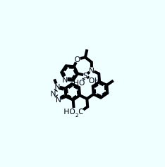 Cc1ccc(C(CC(=O)O)c2ccc3c(nnn3C)c2C)cc1CN1CC(C)Oc2ccncc2S1(O)O